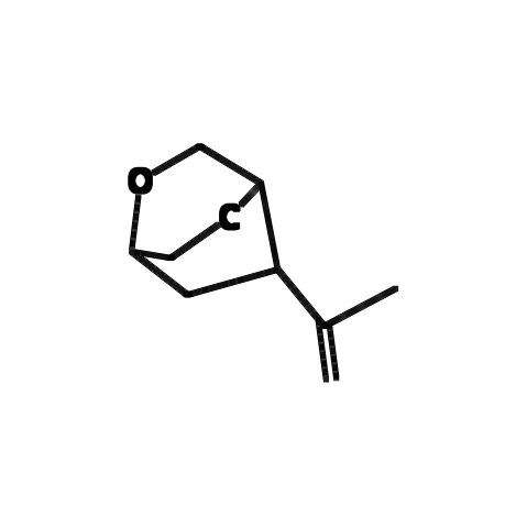 C=C(C)C1CC2CCC1CO2